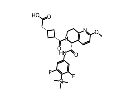 COc1ccc2c(n1)CCN(C(=O)[C@H]1C[C@@H](CC(=O)O)C1)[C@H]2C(=O)Nc1cc(F)c([Si](C)(C)C)c(F)c1